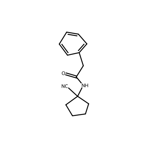 N#CC1(NC(=O)Cc2ccccc2)CCCC1